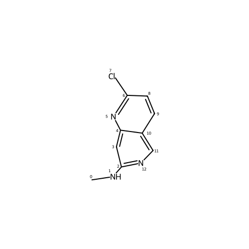 CNc1cc2nc(Cl)ccc2cn1